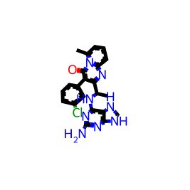 Cc1cccc2nc(C(C)Nc3nc(N)nc4c3NCN4)c(-c3cccc(Cl)c3)c(=O)n12